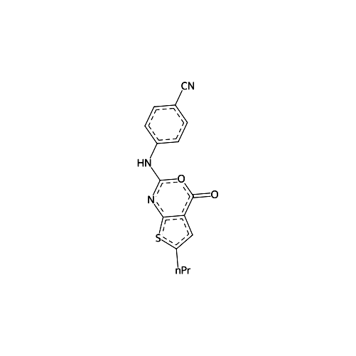 CCCc1cc2c(=O)oc(Nc3ccc(C#N)cc3)nc2s1